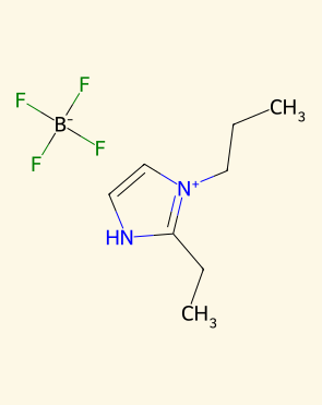 CCC[n+]1cc[nH]c1CC.F[B-](F)(F)F